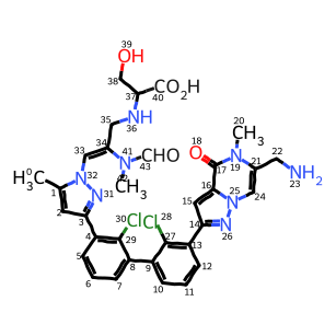 Cc1cc(-c2cccc(-c3cccc(-c4cc5c(=O)n(C)c(CN)cn5n4)c3Cl)c2Cl)nn1/C=C(/CNC(CO)C(=O)O)N(C)C=O